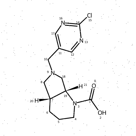 O=C(O)N1CCC[C@@H]2CN(Cc3cnc(Cl)nc3)C[C@@H]21